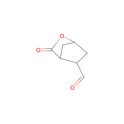 O=CC1CC2CC1C(=O)O2